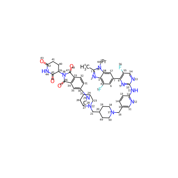 Cc1nc2c(F)cc(-c3nc(Nc4ccc(CN5CCC(CN6CC7CCC6CN7c6ccc7c(c6)C(=O)N(C6CCC(=O)NC6=O)C7=O)CC5)cn4)ncc3F)cc2n1C(C)C